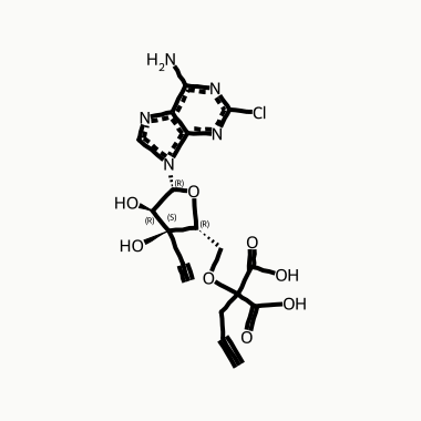 C#CCC(OC[C@H]1O[C@@H](n2cnc3c(N)nc(Cl)nc32)[C@H](O)[C@@]1(O)C#C)(C(=O)O)C(=O)O